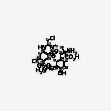 CN1C(CCl)Nc2cc(Cl)c(S(N)(=O)=O)cc2S1(=O)=O.C[C@](N)(Cc1ccc(O)c(O)c1)C(=O)O